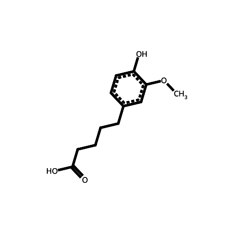 COc1cc(CCCCC(=O)O)ccc1O